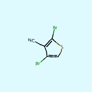 N#Cc1c(Br)csc1Br